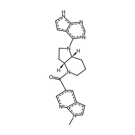 Cn1ccc2cc(C(=O)N3CCC[C@@H]4[C@H]3CCN4c3ncnc4[nH]ccc34)cnc21